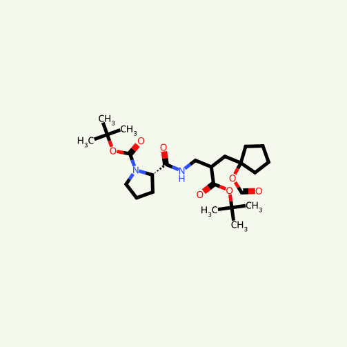 CC(C)(C)OC(=O)C(CNC(=O)[C@@H]1CCCN1C(=O)OC(C)(C)C)CC1(OC=O)CCCC1